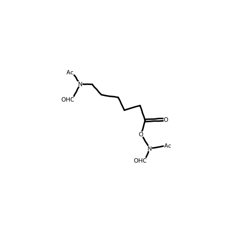 CC(=O)N(C=O)CCCCCC(=O)ON(C=O)C(C)=O